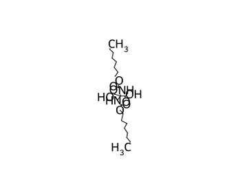 CCCCCCCCOC(=O)NC(NC(=O)OCCCCCCCC)(C(=O)O)C(=O)O